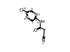 N#CCC(=O)Nc1cnc(Cl)cn1